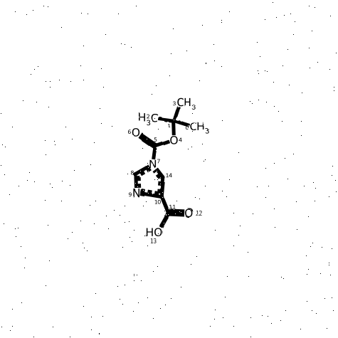 CC(C)(C)OC(=O)n1cnc(C(=O)O)c1